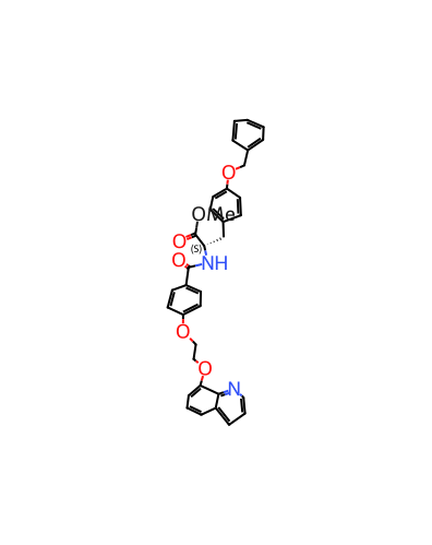 COC(=O)[C@H](Cc1ccc(OCc2ccccc2)cc1)NC(=O)c1ccc(OCCOc2cccc3cccnc23)cc1